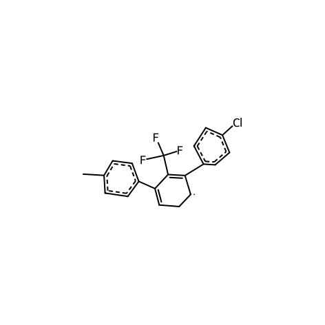 Cc1ccc(C2=CC[CH]C(c3ccc(Cl)cc3)=C2C(F)(F)F)cc1